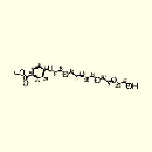 COC(=O)c1ccc(OCCOCCOCCOCCOCCO)cc1